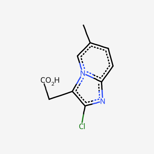 Cc1ccc2nc(Cl)c(CC(=O)O)n2c1